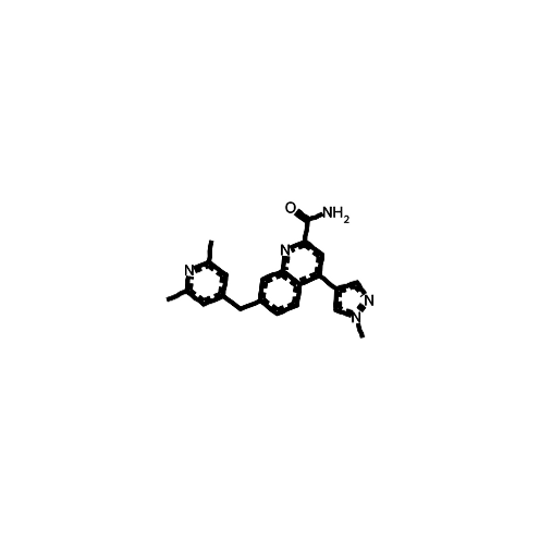 Cc1cc(Cc2ccc3c(-c4cnn(C)c4)cc(C(N)=O)nc3c2)cc(C)n1